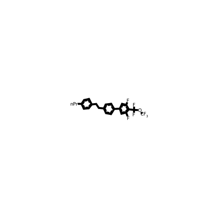 CCCc1ccc(CCc2ccc(-c3cc(F)c(C(F)(F)OC(F)(F)F)c(F)c3)cc2)cc1